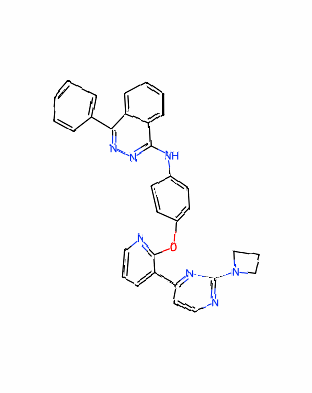 c1ccc(-c2nnc(Nc3ccc(Oc4ncccc4-c4ccnc(N5CCC5)n4)cc3)c3ccccc23)cc1